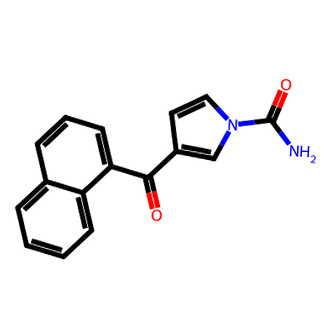 NC(=O)n1ccc(C(=O)c2cccc3ccccc23)c1